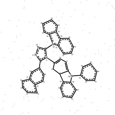 C1=C2C(CC(n3c(-c4ccc5ccccc5c4)nnc3-n3c4ccccc4c4ccccc43)=C1)c1ccccc1N2c1ccccc1